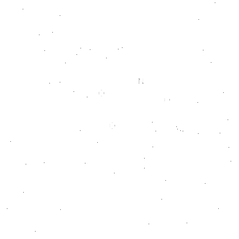 C=CC(C)(C)c1ocnc1C(=O)OCC